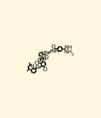 Cc1cc(C)c2cccc(OCc3c(Cl)ccc(S(=O)(=O)N4CCC[C@H]4C(=O)NCCNC(=O)c4ccc(C(=N)N)cc4)c3Cl)c2n1